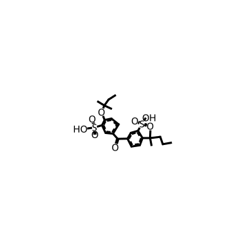 CCCC(C)(C)c1ccc(C(=O)c2ccc(OC(C)(C)CC)c(S(=O)(=O)O)c2)cc1S(=O)(=O)O